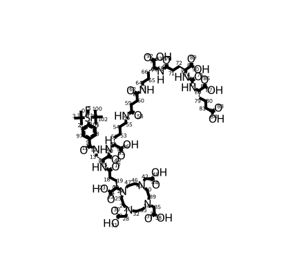 CC(C)(C)[Si](F)(c1ccc(C(=O)NC[C@@H](NC(=O)CC[C@H](C(=O)O)N2CCN(CC(=O)O)CCN(CC(=O)O)CCN(CC(=O)O)CC2)C(=O)N[C@H](CCCCNC(=O)CCC(=O)NCCC[C@@H](NC(=O)CC[C@H](NC(=O)N[C@@H](CCCC(=O)O)C(=O)O)C(=O)O)C(=O)O)C(=O)O)cc1)C(C)(C)C